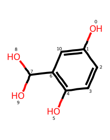 Oc1ccc(O)c(C(O)O)c1